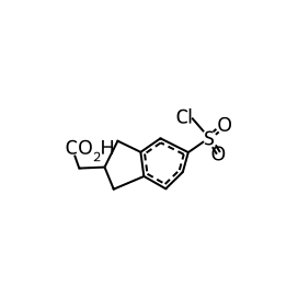 O=C(O)CC1Cc2ccc(S(=O)(=O)Cl)cc2C1